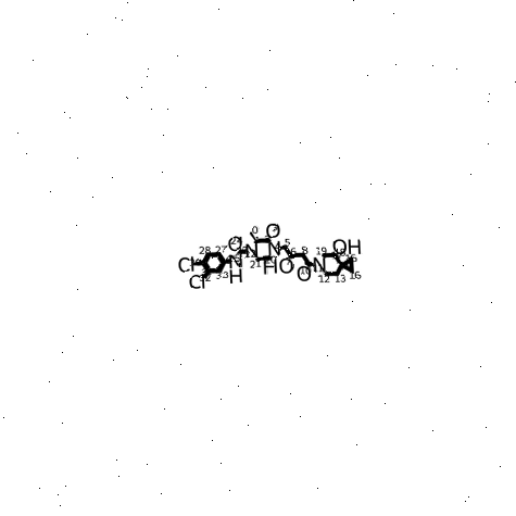 C[C@H]1C(=O)N(CC(O)CC(=O)N2CCC3(CC3)[C@H](O)C2)CCN1C(=O)Nc1ccc(Cl)c(Cl)c1